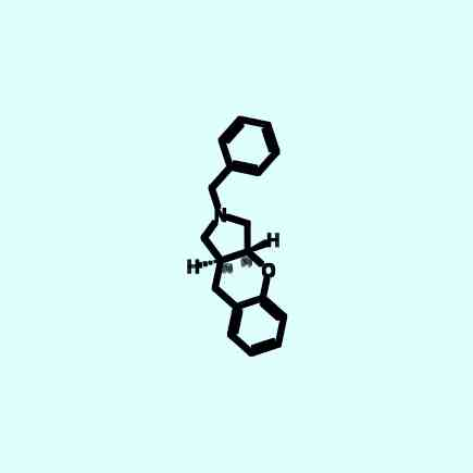 c1ccc(CN2C[C@@H]3Cc4ccccc4O[C@H]3C2)cc1